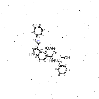 COc1c(C(=O)N[C@H](CO)c2ccccc2)ccc2[nH]nc(/C=C/c3cccc(F)c3)c12